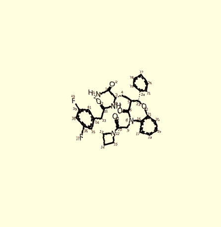 NC(=O)[C@H](CC1C(=O)N(CC(=O)N2CCC2)c2ccccc2O[C@H]1c1ccccc1)NC(=O)Cc1cc(F)cc(F)c1